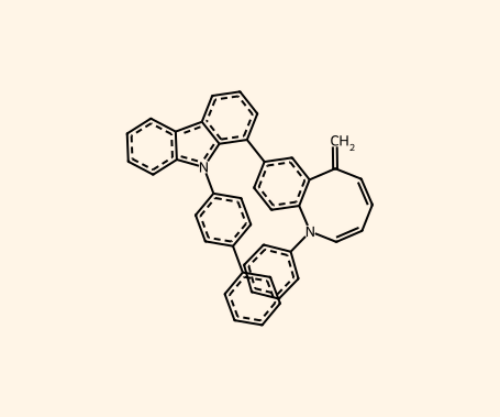 C=C1/C=C\C=C/N(c2ccccc2)c2ccc(-c3cccc4c5ccccc5n(-c5ccc(-c6ccccc6)cc5)c34)cc21